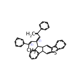 C=C(/C=C(\C=C(/C)c1ccccc1)C1c2ccccc2C2C=c3sc4ccccc4c3=CC21)c1ccccc1